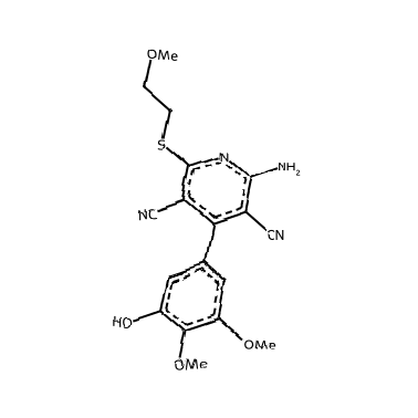 COCCSc1nc(N)c(C#N)c(-c2cc(O)c(OC)c(OC)c2)c1C#N